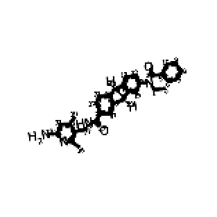 CCN(C(=O)c1ccccc1)c1ccc2c(c1)[C@H]1O[C@@H]2c2ccc(C(=O)NCc3c(C)cc(N)nc3C)cc21